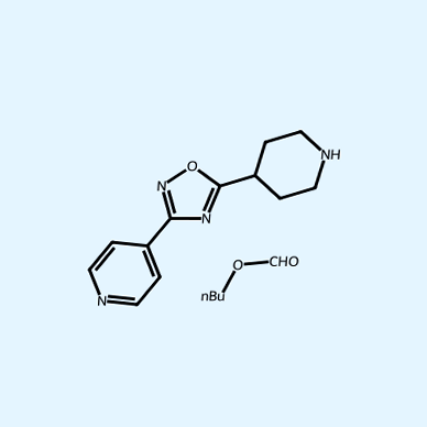 CCCCOC=O.c1cc(-c2noc(C3CCNCC3)n2)ccn1